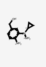 Nc1ccc(CO)cc1N(N)C1CC1